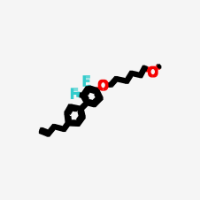 C=CCCc1ccc(-c2ccc(OCCCCCCOC)c(F)c2F)cc1